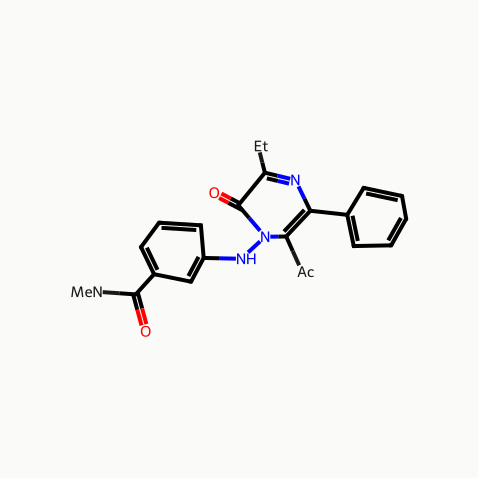 CCc1nc(-c2ccccc2)c(C(C)=O)n(Nc2cccc(C(=O)NC)c2)c1=O